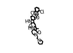 Cc1c(C=C2C(=O)Nc3ccc(S(=O)(=O)Cc4c(Cl)cccc4Cl)cc32)[nH]c2c1C(=O)N(CCN1CCCCC1)CCC2